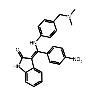 CN(C)Cc1ccc(N/C(=C2\C(=O)Nc3ccccc32)c2ccc([N+](=O)[O-])cc2)cc1